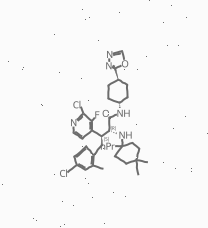 CCCC1(N[C@@H](C(=O)N[C@H]2CC[C@H](c3nnco3)CC2)[C@@H](Cc2ccc(Cl)cc2C)c2ccnc(Cl)c2F)CCC(C)(C)CC1